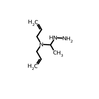 C=CCN(CC=C)C(C)NN